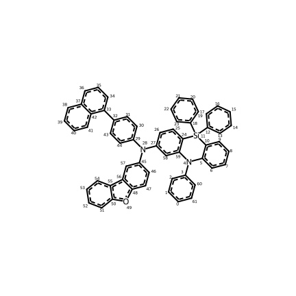 c1ccc(N2c3ccccc3[Si](c3ccccc3)(c3ccccc3)c3ccc(N(c4ccc(-c5cccc6ccccc56)cc4)c4ccc5oc6ccccc6c5c4)cc32)cc1